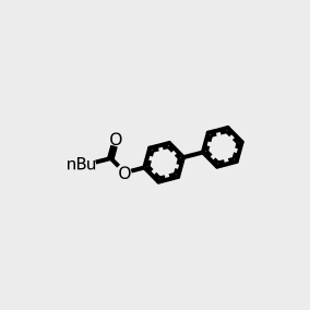 CCCCC(=O)Oc1ccc(-c2ccccc2)cc1